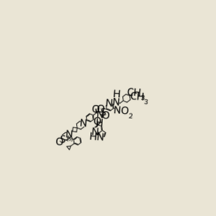 CC1(C)CCC(CNc2ncc(S(=O)(=O)NC(=O)c3ccc(N4CCC5(CC4)CC(N4CC[S+]([O-])C[C@@H]4c4ccccc4C4CC4)C5)cc3Oc3cnc4[nH]ccc4c3)cc2[N+](=O)[O-])CC1